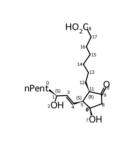 CCCCC[C@H](O)C=C[C@@H]1[C@H](O)CC(=O)[C@@H]1CCCCCCC(=O)O